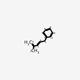 C=C(C)C=CCc1ccccc1